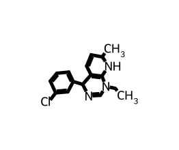 CCN1C=NC(c2cccc(Cl)c2)C2=C1NC(C)C=C2